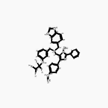 CCCCn1c(-c2ccccc2)nc(-c2ccc(OCC)cc2)c1CN(Cc1cccc(OC(F)(F)C(F)F)c1)Cc1ccc2c(c1)OCO2